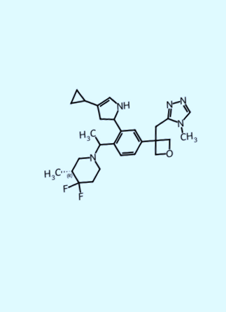 CC(c1ccc(C2(Cc3nncn3C)COC2)cc1C1CC(C2CC2)=CN1)N1CCC(F)(F)[C@H](C)C1